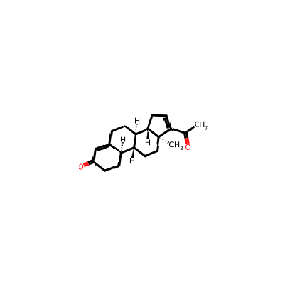 CC(=O)C1=CC[C@H]2[C@@H]3CCC4=CC(=O)CC[C@@H]4[C@H]3CC[C@]12C